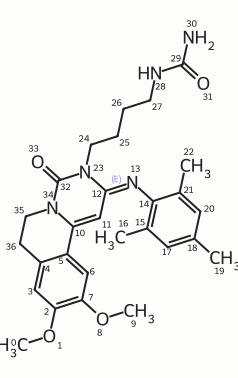 COc1cc2c(cc1OC)-c1c/c(=N\c3c(C)cc(C)cc3C)n(CCCCNC(N)=O)c(=O)n1CC2